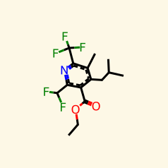 CCOC(=O)c1c(C(F)F)nc(C(F)(F)F)c(C)c1CC(C)C